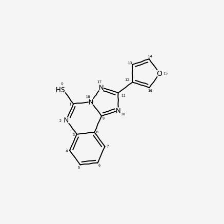 Sc1nc2ccccc2c2nc(-c3ccoc3)nn12